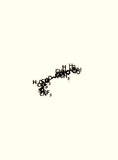 C[C@@H]1CN(CCCO[C@H]2CC[C@H](N3C(=S)N(c4cnc(C#N)c(C(F)(F)F)c4)C(=O)C3(C)C)CC2)C[C@H](C)N1CC(=O)Nc1cccc(NC2CCC(=O)NC2=O)c1